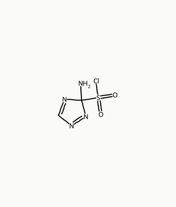 NC1(S(=O)(=O)Cl)N=CN=N1